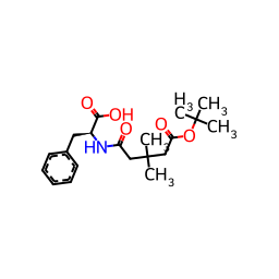 CC(C)(CC(=O)N[C@@H](Cc1ccccc1)C(=O)O)CC(=O)OC(C)(C)C